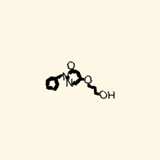 O=c1cc(OCCCO)cnn1Cc1ccccc1